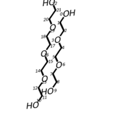 OCCOCCOCCO.OCCOCCOCCOCCO